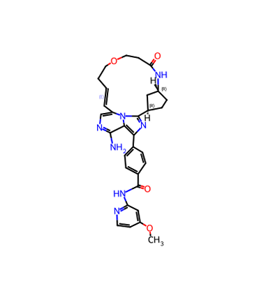 COc1ccnc(NC(=O)c2ccc(-c3nc4n5c(cnc(N)c35)/C=C/CCOCCC(=O)N[C@@H]3CC[C@@H]4C3)cc2)c1